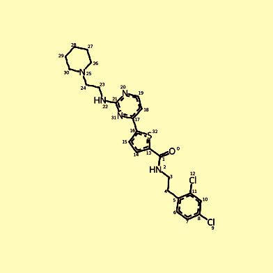 O=C(NCCc1ccc(Cl)cc1Cl)c1ccc(-c2ccnc(NCCN3CCCCC3)n2)s1